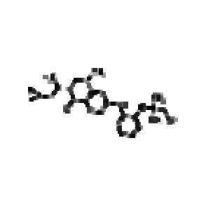 CC1CC(N(C)CC2CC2)C(=O)c2ccc(Nc3ccccc3OC(C)(C)CO)cc21